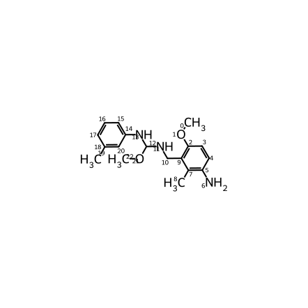 COc1ccc(N)c(C)c1CNC(Nc1cccc(C)c1)OC